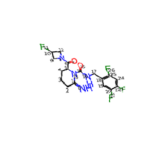 N=C1CCCC(C(=O)N2CC(F)C2)N1C(=O)NCc1cc(F)c(F)cc1F